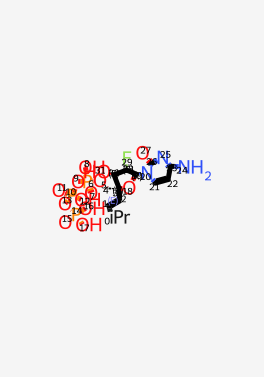 CC(C)/C=C/[C@]1(COP(=O)(O)OP(=O)(O)OP(=O)(O)O)O[C@@H](n2ccc(N)nc2=O)[C@@H](F)[C@H]1O